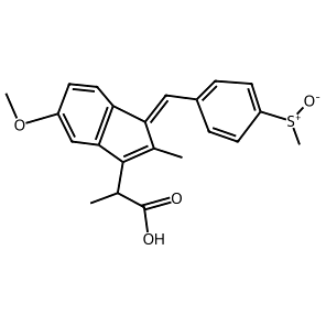 COc1ccc2c(c1)C(C(C)C(=O)O)=C(C)/C2=C\c1ccc([S+](C)[O-])cc1